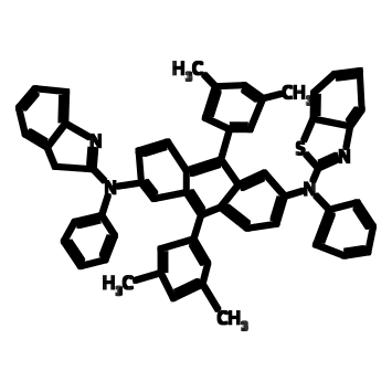 Cc1cc(C)cc(-c2c3ccc(N(c4ccccc4)c4nc5ccccc5s4)cc3c(-c3cc(C)cc(C)c3)c3ccc(N(C4=Nc5ccccc5C4)c4ccccc4)cc23)c1